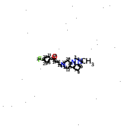 CN1CCN2c3c(cccc31)C1CCN(CCCC(=O)c3ccc(F)cc3)CCC12